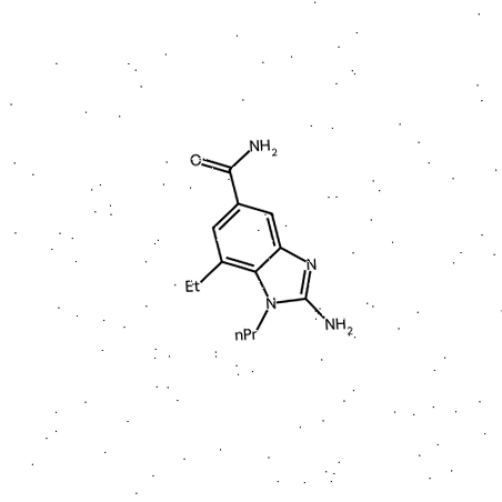 CCCn1c(N)nc2cc(C(N)=O)cc(CC)c21